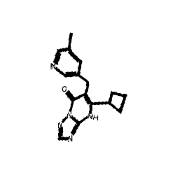 Cc1cncc(Cc2c(C3CCC3)[nH]c3ncnn3c2=O)c1